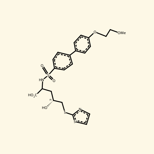 COCCOc1ccc(-c2ccc(S(=O)(=O)NC(C[C@@H](O)CSc3nccs3)C(=O)O)cc2)cc1